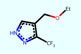 CCOCc1c[nH]nc1C(F)(F)F